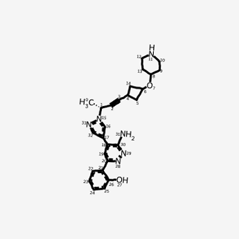 C[C@H](C#CC1CC(OC2CCNCC2)C1)n1cc(-c2cc(-c3ccccc3O)nnc2N)cn1